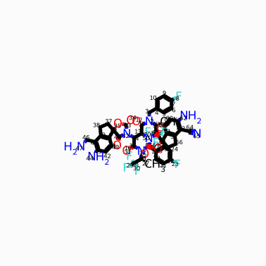 C[C@H](N(Cc1ccc(F)cc1)C(=O)C(C(C(=O)N(Cc1ccc(F)cc1)[C@@H](C)C(F)(F)F)N1C(=O)OC2(CCc3c2ccc(N)c3CN)C1=O)N1C(=O)OC2(CCc3c2ccc(N)c3C#N)C1=O)C(F)(F)F